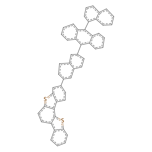 c1ccc2c(-c3c4ccccc4c(-c4ccc5cc(-c6ccc7c(c6)sc6ccc8c9ccccc9sc8c67)ccc5c4)c4ccccc34)cccc2c1